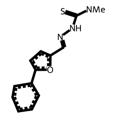 CNC(=S)N/N=C/c1ccc(-c2ccccc2)o1